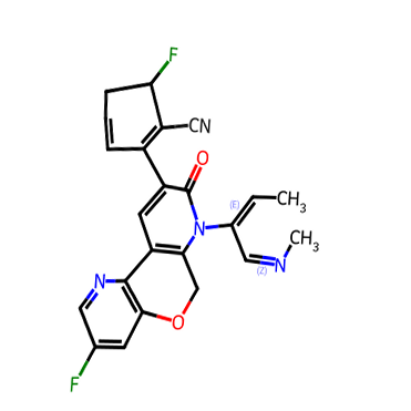 C/C=C(\C=N/C)n1c2c(cc(C3=C(C#N)C(F)CC=C3)c1=O)-c1ncc(F)cc1OC2